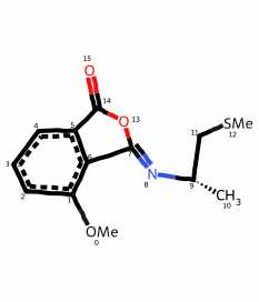 COc1cccc2c1/C(=N/[C@@H](C)CSC)OC2=O